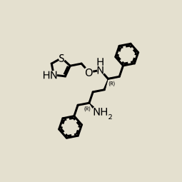 N[C@H](CC[C@H](Cc1ccccc1)NOCC1=CNCS1)Cc1ccccc1